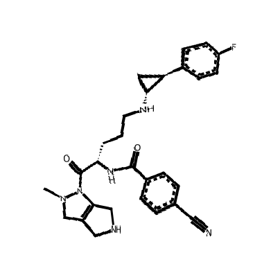 CN1CC2=C(CNC2)N1C(=O)[C@H](CCCN[C@@H]1C[C@H]1c1ccc(F)cc1)NC(=O)c1ccc(C#N)cc1